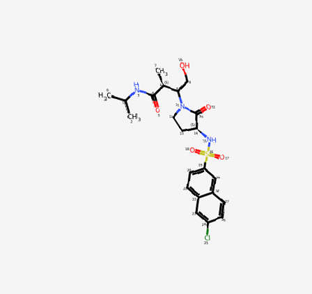 CC(C)NC(=O)[C@@H](C)C(CO)N1CC[C@H](NS(=O)(=O)c2ccc3cc(Cl)ccc3c2)C1=O